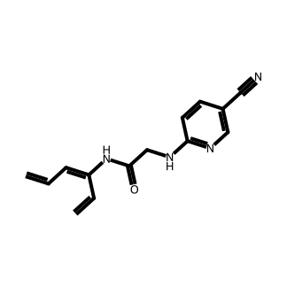 C=C/C=C(\C=C)NC(=O)CNc1ccc(C#N)cn1